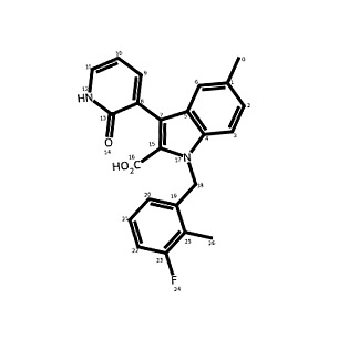 Cc1ccc2c(c1)c(-c1ccc[nH]c1=O)c(C(=O)O)n2Cc1cccc(F)c1C